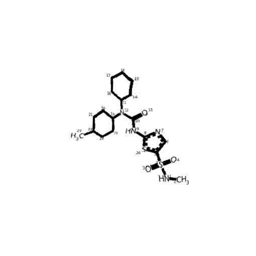 CNS(=O)(=O)c1cnc(NC(=O)N(C2CCCCC2)C2CCC(C)CC2)s1